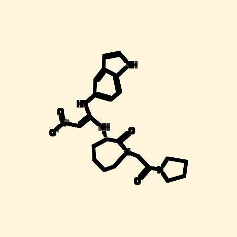 O=C(CN1CCCC[C@H](NC(=C[N+](=O)[O-])Nc2ccc3[nH]ccc3c2)C1=O)N1CCCC1